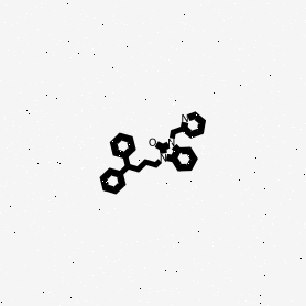 O=c1n(CCCC(c2ccccc2)c2ccccc2)c2ccccc2n1Cc1ccccn1